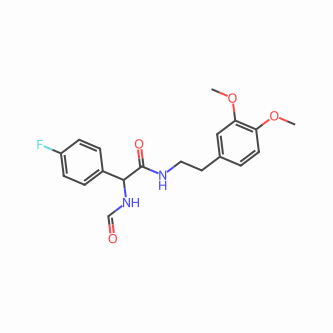 COc1ccc(CCNC(=O)C(NC=O)c2ccc(F)cc2)cc1OC